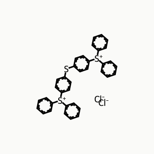 [Cl-].[Cl-].c1ccc([S+](c2ccccc2)c2ccc(Sc3ccc([S+](c4ccccc4)c4ccccc4)cc3)cc2)cc1